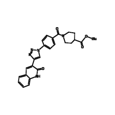 CC(C)(C)OC(=O)C1CCN(C(=O)c2ccc(-n3cc(-c4cc5ccccc5[nH]c4=O)nn3)cc2)CC1